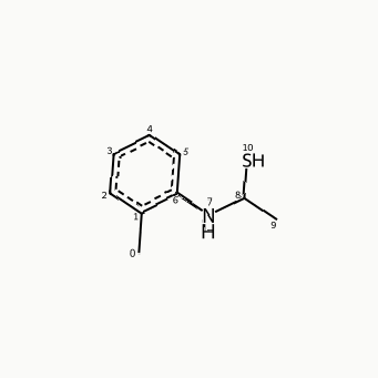 Cc1ccccc1NC(C)S